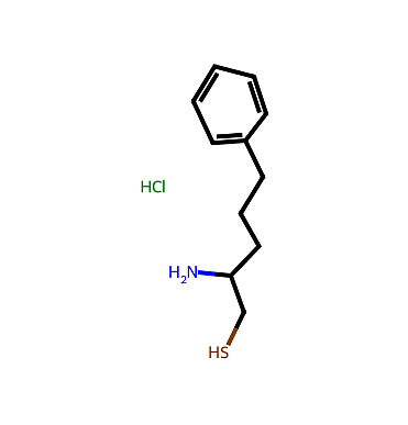 Cl.NC(CS)CCCc1ccccc1